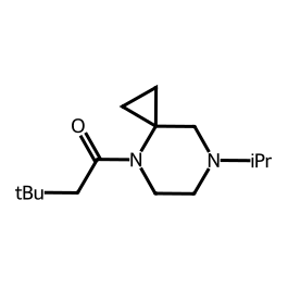 CC(C)N1CCN(C(=O)CC(C)(C)C)C2(CC2)C1